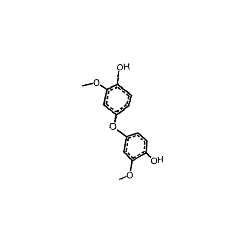 COc1cc(Oc2ccc(O)c(OC)c2)ccc1O